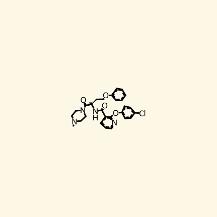 CN1CCN(C(=O)[C@@H](CCOc2ccccc2)NC(=O)c2cccnc2Oc2ccc(Cl)cc2)CC1